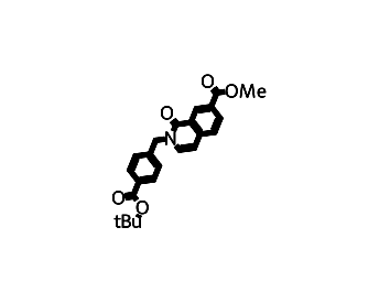 COC(=O)c1ccc2ccn(Cc3ccc(C(=O)OC(C)(C)C)cc3)c(=O)c2c1